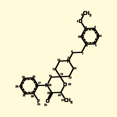 COc1cccc(CCN2CCC3(CC2)CN(c2ccccc2F)C(=O)C(C)O3)c1